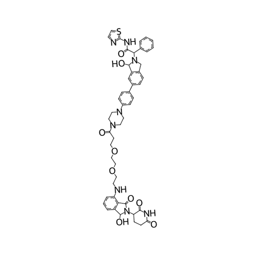 O=C1CCC(N2C(=O)c3c(NCCOCCOCCC(=O)N4CCN(c5ccc(-c6ccc7c(c6)C(O)N(C(C(=O)Nc6nccs6)c6ccccc6)C7)cc5)CC4)cccc3C2O)C(=O)N1